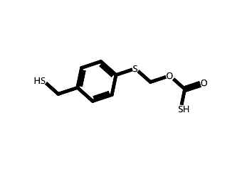 O=C(S)OCSc1ccc(CS)cc1